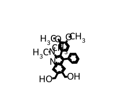 COc1ccc(-c2c(N(C)C)nc3cc(CO)c(CO)cc3c2-c2ccccc2)cc1OC